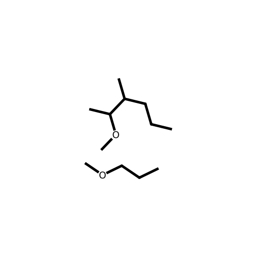 CCCC(C)C(C)OC.CCCOC